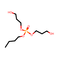 CCCCOP(=O)(OCCCO)OCCCO